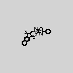 S=C1C(=Cc2nc3oc(-c4ccccc4)nc3s2)C(=S)c2cc3ccccc3cc21